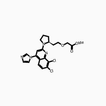 COC(=O)COCC[C@@H]1CCCN1c1cc(-n2ccnc2)c2ccc(Cl)c(Cl)c2n1